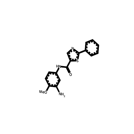 COc1ccc(NC(=O)c2cnc(-c3ccccc3)s2)cc1N